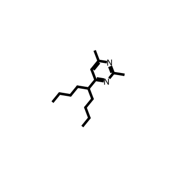 CCCCC(CCCC)c1cc(C)nc(C)n1